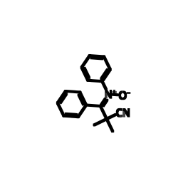 CC(C)(C#N)/C(c1ccccc1)=[N+](\[O-])c1ccccc1